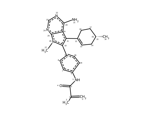 C=C(C)C(=O)Nc1ccc(-c2c(C3=CC[C@@H](C)CC3)c3c(N)ncnc3n2C)cc1